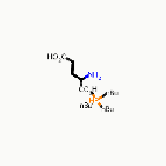 CCCC[PH](C)(CCCC)CCCC.NC(CCC(=O)O)C(=O)O